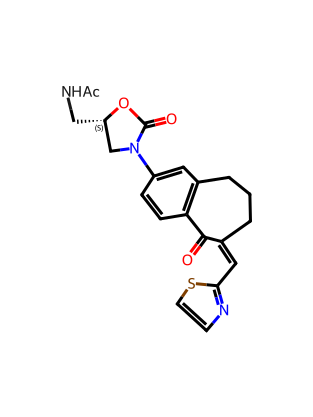 CC(=O)NC[C@H]1CN(c2ccc3c(c2)CCCC(=Cc2nccs2)C3=O)C(=O)O1